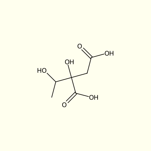 CC(O)C(O)(CC(=O)O)C(=O)O